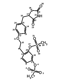 CS(=O)(=O)Oc1ccc(CCOc2ccc(CC3SC(=O)NC3=O)cc2)c(OS(C)(=O)=O)c1